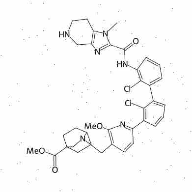 COC(=O)C12CCC(CC1)N(Cc1ccc(-c3cccc(-c4cccc(NC(=O)c5nc6c(n5C)CCNC6)c4Cl)c3Cl)nc1OC)C2